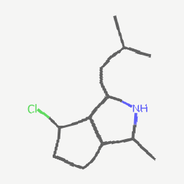 CC(C)CC1NC(C)C2CCC(Cl)C12